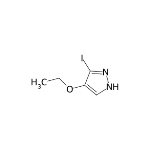 CCOc1c[nH]nc1I